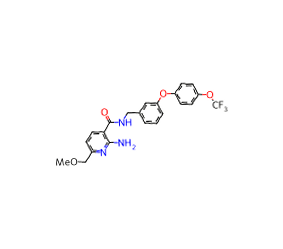 COCc1ccc(C(=O)NCc2cccc(Oc3ccc(OC(F)(F)F)cc3)c2)c(N)n1